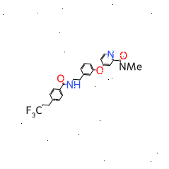 CNC(=O)c1cc(Oc2cccc(CCNC(=O)c3ccc(CCC(F)(F)F)cc3)c2)ccn1